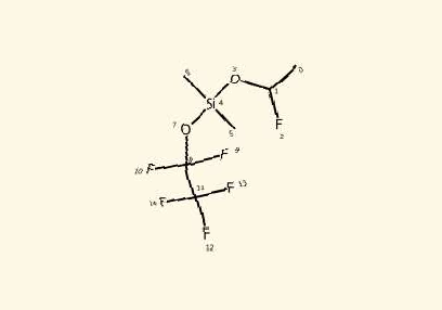 CC(F)O[Si](C)(C)OC(F)(F)C(F)(F)F